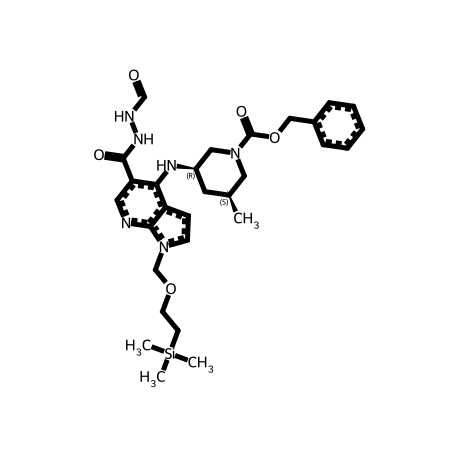 C[C@H]1C[C@@H](Nc2c(C(=O)NNC=O)cnc3c2ccn3COCC[Si](C)(C)C)CN(C(=O)OCc2ccccc2)C1